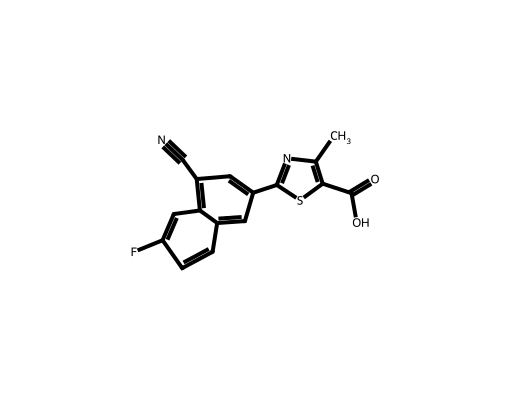 Cc1nc(-c2cc(C#N)c3cc(F)ccc3c2)sc1C(=O)O